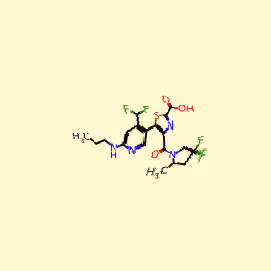 CCCNc1cc(C(F)F)c(-c2sc(C(=O)O)nc2C(=O)N2CC(F)(F)CC2C)cn1